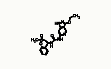 CCOc1n[nH]c2cc(NC(=O)NC(CS(C)(=O)=O)c3ccccc3)ncc12